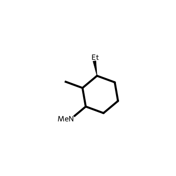 CC[C@H]1CCCC(NC)C1C